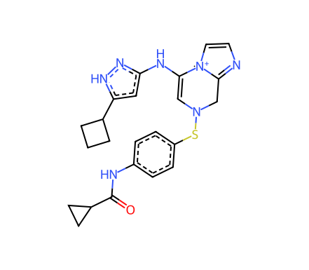 O=C(Nc1ccc(SN2C=C(Nc3cc(C4CCC4)[nH]n3)[N+]3C=CN=C3C2)cc1)C1CC1